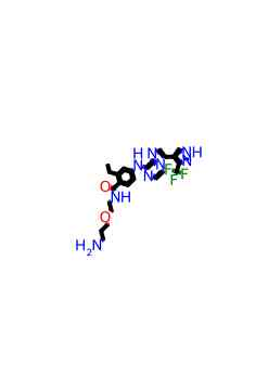 CCc1cc(Nc2nccn3c(-c4c[nH]nc4C(F)(F)F)cnc23)ccc1C(=O)NCCOCCCN